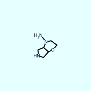 NN1CCOC2CNCC21